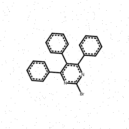 Brc1nc(-c2ccccc2)c(-c2ccccc2)c(-c2ccccc2)n1